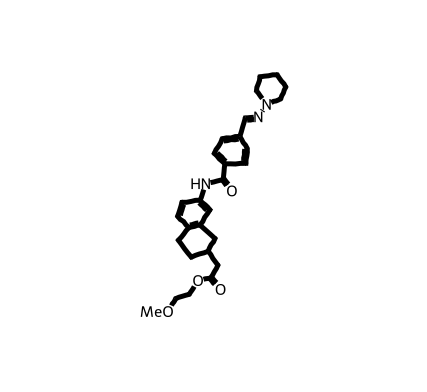 COCCOC(=O)CC1CCc2ccc(NC(=O)c3ccc(C=NN4CCCCC4)cc3)cc2C1